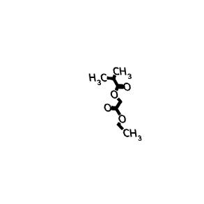 CCOC(=O)COC(=O)C(C)C